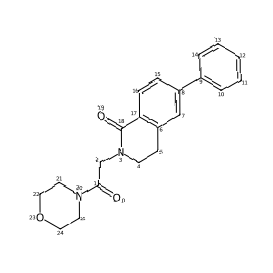 O=C(CN1CCc2cc(-c3ccccc3)ccc2C1=O)N1CCOCC1